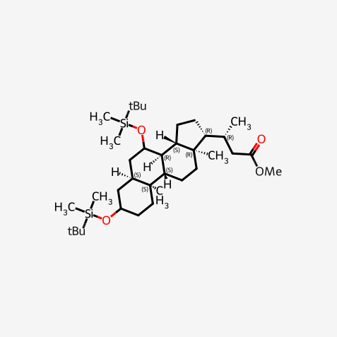 COC(=O)C[C@@H](C)[C@H]1CC[C@H]2[C@@H]3C(O[Si](C)(C)C(C)(C)C)C[C@@H]4CC(O[Si](C)(C)C(C)(C)C)CC[C@]4(C)[C@H]3CC[C@]12C